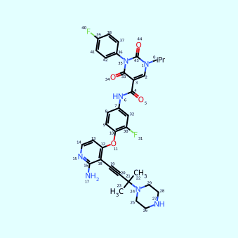 CC(C)n1cc(C(=O)Nc2ccc(Oc3ccnc(N)c3C#CC(C)(C)N3CCNCC3)c(F)c2)c(=O)n(-c2ccc(F)cc2)c1=O